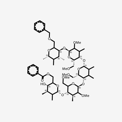 COCC1O[C@@H](O[C@H]2C(C)C(C)[C@@H](O[C@H]3C(C)C(OC)[C@H](O[C@@H]4C(COCc5ccccc5)O[C@@H](C)C(C)[C@H]4C)O[C@H]3COC)O[C@H]2COC)C(OC)[C@@H](C)[C@@H]1O[C@H]1OC(COC(=O)c2ccccc2)[C@@H](O)[C@H](C)C1C